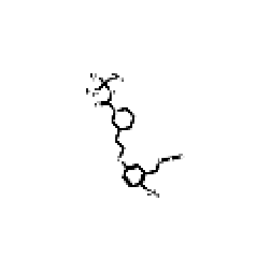 Cc1ccc(OCCC2CCCN(C(=O)OC(C)(C)C)C2)cc1CN=C=O